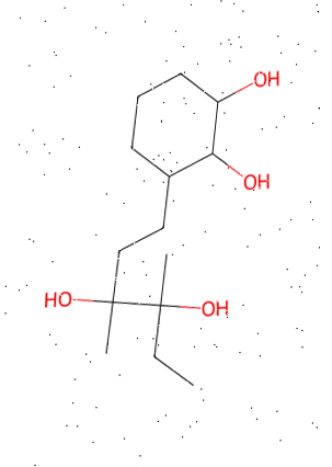 CCC(C)(O)C(C)(O)CCC1CCCC(O)C1O